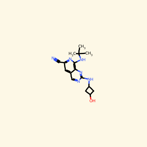 CC(C)(C)Nc1nc(C#N)cc2cnc(NC3CC(O)C3)nc12